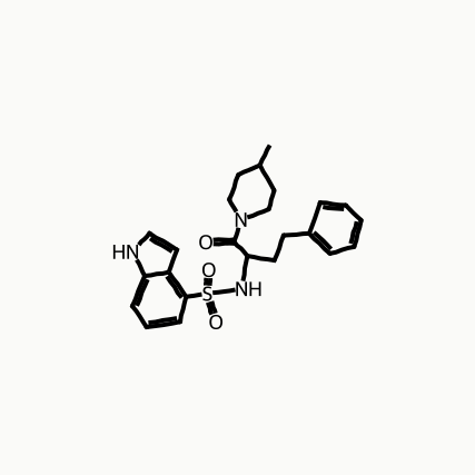 CC1CCN(C(=O)C(CCc2ccccc2)NS(=O)(=O)c2cccc3[nH]ccc23)CC1